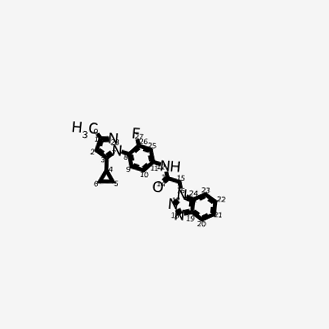 Cc1cc(C2CC2)n(-c2ccc(NC(=O)Cn3nnc4ccccc43)cc2F)n1